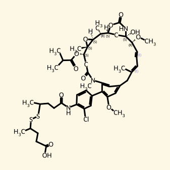 COc1cc2cc(c1-c1ccc(NC(=O)CCC(C)SSC(C)CCC(=O)O)c(Cl)c1)N(C)C(=O)C[C@H](OC(=O)C(C)C)[C@]1(C)O[C@H]1[C@H](C)[C@@H]1C[C@@](O)(NC(=O)O1)[C@H](OC)/C=C/C=C(\C)C2